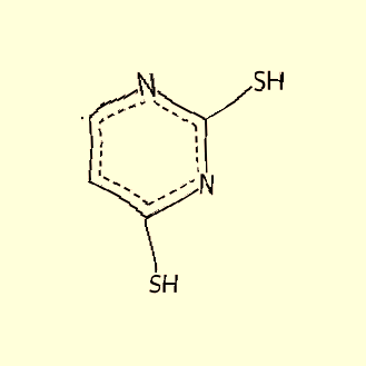 Sc1c[c]nc(S)n1